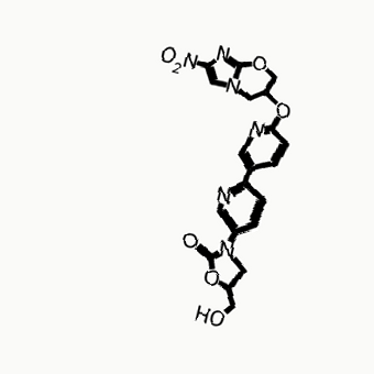 O=C1OC(CO)CN1c1ccc(-c2ccc(OC3COc4nc([N+](=O)[O-])cn4C3)nc2)nc1